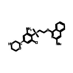 CCCCc1cc2ccccc2c(OCC[N+](C)(C)c2c(N)cc([C@H]3CNCCO3)cc2Cl)n1